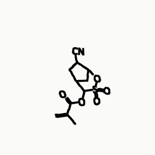 C=C(C)C(=O)OC1C2CC(C#N)C(C2)OS1(=O)=O